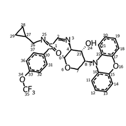 O=S(/C=N\[C@@H]1COC[C@H](N2c3ccccc3Oc3ccccc32)[C@H]1O)(=NCC1CC1)c1ccc(OC(F)(F)F)cc1